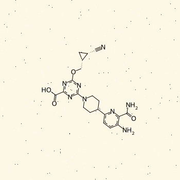 N#C[C@H]1C[C@H]1COc1nc(C(=O)O)nc(N2CCC(c3ccc(N)c(C(N)=O)n3)CC2)n1